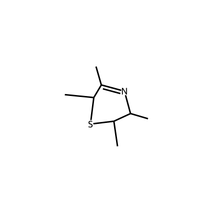 CC1=NC(C)C(C)SC1C